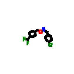 FC(F)c1ccc(CO/N=[C]\c2ccc(Cl)cc2)cc1